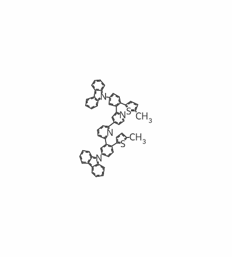 Cc1ccc(-c2ccc(-n3c4ccccc4c4ccccc43)cc2-c2cc(-c3cccc(-c4cc(-n5c6ccccc6c6ccccc65)ccc4-c4ccc(C)s4)n3)ccn2)s1